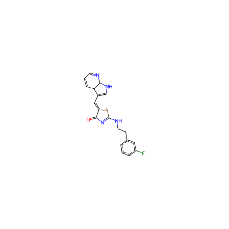 O=C1N=C(NCCc2cccc(F)c2)S/C1=C\C1=CNC2N=CC=CC12